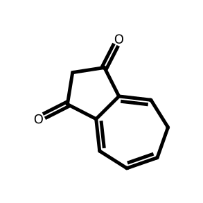 O=C1CC(=O)C2=CCC=CC=C12